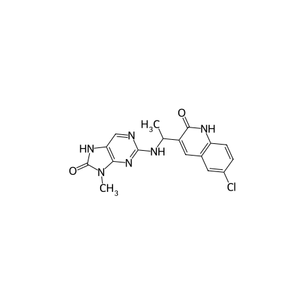 CC(Nc1ncc2[nH]c(=O)n(C)c2n1)c1cc2cc(Cl)ccc2[nH]c1=O